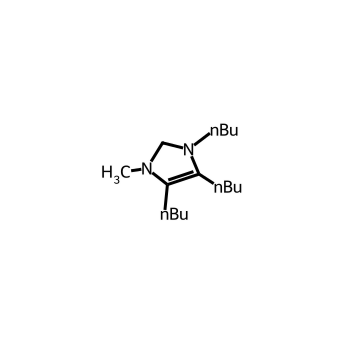 CCCCC1=C(CCCC)N(CCCC)CN1C